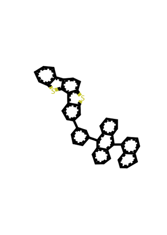 c1cc(-c2ccc3c(c2)sc2ccc4c5ccccc5sc4c23)cc(-c2c3ccccc3c(-c3cccc4ccccc34)c3ccccc23)c1